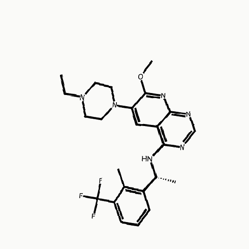 CCN1CCN(c2cc3c(N[C@H](C)c4cccc(C(F)(F)F)c4C)ncnc3nc2OC)CC1